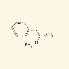 NC(=O)Cc1ccccc1.P